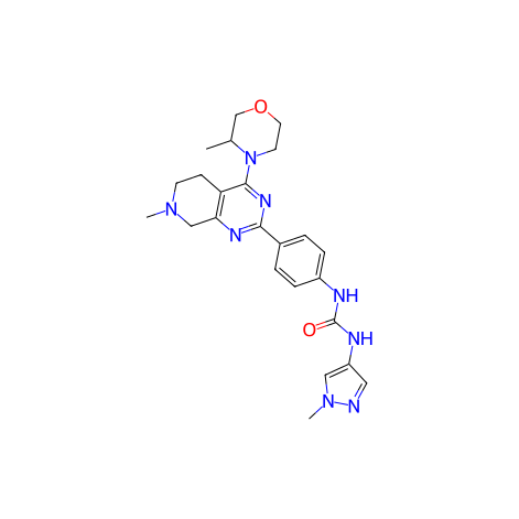 CC1COCCN1c1nc(-c2ccc(NC(=O)Nc3cnn(C)c3)cc2)nc2c1CCN(C)C2